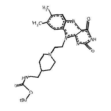 Cc1cc2nc3c(=O)[nH]c(=O)nc-3n(CCN3CCC(CNC(=O)OC(C)(C)C)CC3)c2cc1C